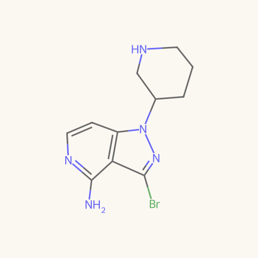 Nc1nccc2c1c(Br)nn2C1CCCNC1